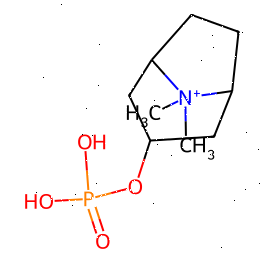 C[N+]1(C)C2CCC1CC(OP(=O)(O)O)C2